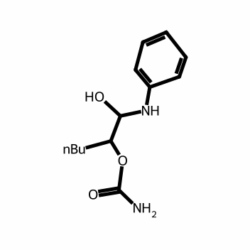 CCCCC(OC(N)=O)C(O)Nc1ccccc1